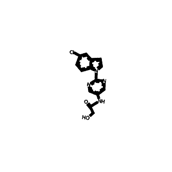 O=C(CO)Nc1cnc(-n2ccc3cc(Cl)ccc32)nc1